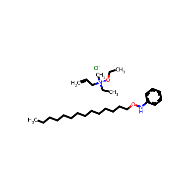 C=CC[N+](C)(CC)OCC.CCCCCCCCCCCCCCONc1ccccc1.[Cl-]